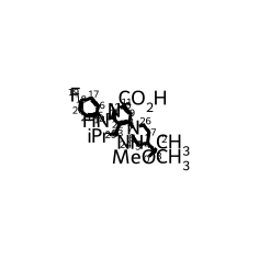 COC(C)(C)C1CCN(c2cc(C(=O)O)nc(Nc3ccc(F)cc3)c2C(=N)C(C)C)CC1